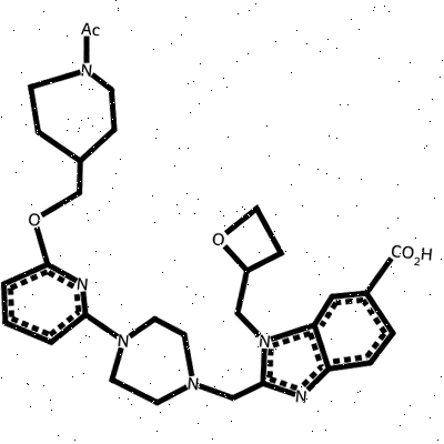 CC(=O)N1CCC(COc2cccc(N3CCN(Cc4nc5ccc(C(=O)O)cc5n4CC4CCO4)CC3)n2)CC1